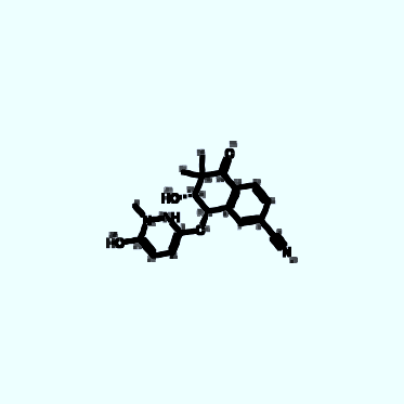 CN1NC(O[C@@H]2c3cc(C#N)ccc3C(=O)C(C)(C)[C@H]2O)=CC=C1O